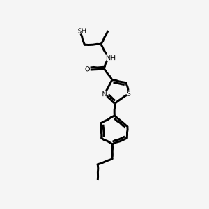 CCCc1ccc(-c2nc(C(=O)NC(C)CS)cs2)cc1